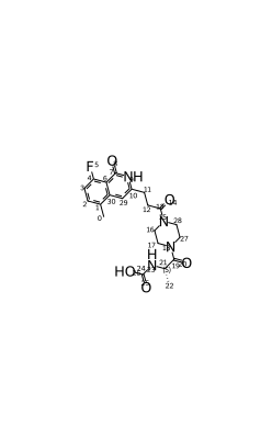 Cc1ccc(F)c2c(=O)[nH]c(CCC(=O)N3CCN(C(=O)[C@H](C)NC(=O)O)CC3)cc12